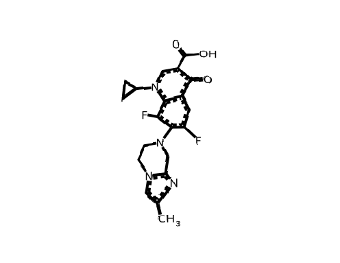 Cc1cn2c(n1)CN(c1c(F)cc3c(=O)c(C(=O)O)cn(C4CC4)c3c1F)CC2